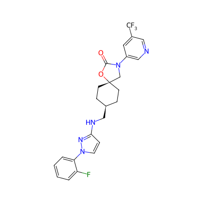 O=C1O[C@]2(CC[C@H](CNc3ccn(-c4ccccc4F)n3)CC2)CN1c1cncc(C(F)(F)F)c1